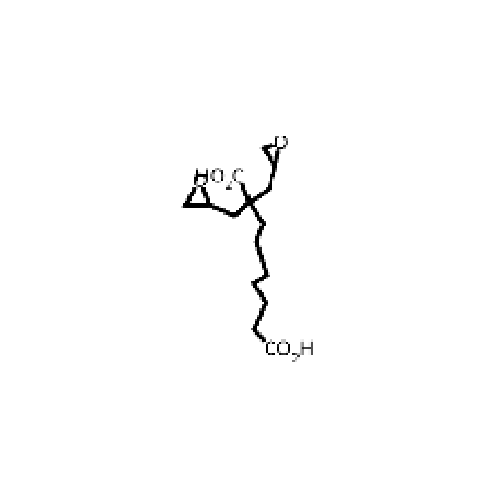 O=C(O)CCCCCCC(CC1CO1)(CC1CO1)C(=O)O